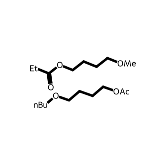 CCC(=O)OCCCCOC.CCCCOCCCCOC(C)=O